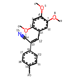 COc1cc(OC)c(OC)cc1C=C(C#N)c1ccc(C)cc1